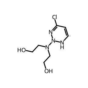 OCCN(CCO)N1N=C(Cl)C=[C]N1